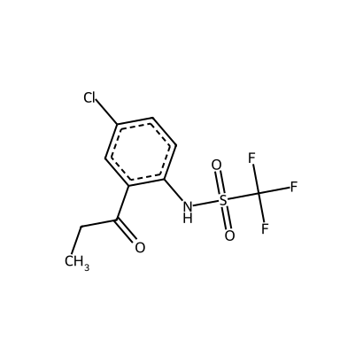 CCC(=O)c1cc(Cl)ccc1NS(=O)(=O)C(F)(F)F